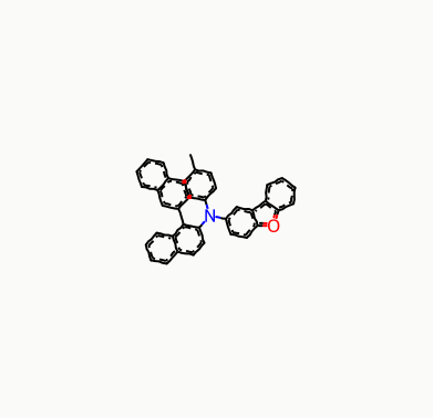 Cc1ccc(N(c2ccc3oc4ccccc4c3c2)c2ccc3ccccc3c2-c2ccc3ccccc3c2)cc1